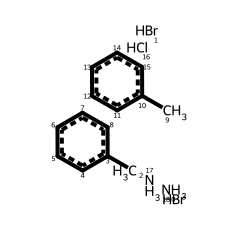 Br.Br.Cc1ccccc1.Cc1ccccc1.Cl.N.N